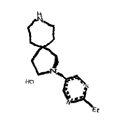 CCc1ncc(N2CCC3(CCNCC3)C2)cn1.Cl